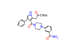 COC(=O)Cc1[nH]cc(-c2ccccc2)c1C(=O)N1CCN(c2cccc(C(N)=O)c2)CC1